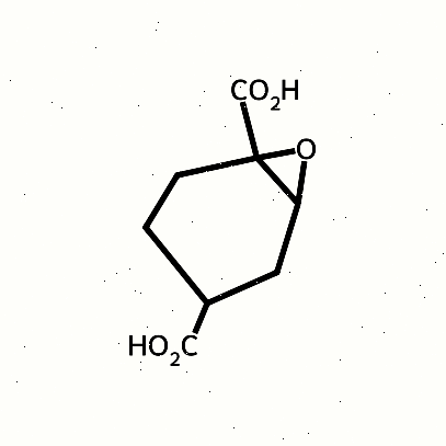 O=C(O)C1CCC2(C(=O)O)OC2C1